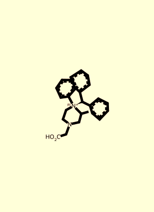 CC1CN(CC(=O)O)CC[N@@+]1(c1ccccc1)C(c1ccccc1)c1ccccc1